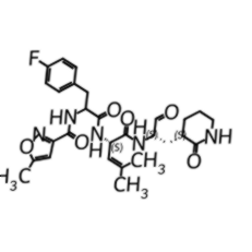 CC(C)=C[C@H](NC(=O)C(Cc1ccc(F)cc1)NC(=O)c1cc(C)on1)C(=O)N[C@H](C=O)C[C@@H]1CCCNC1=O